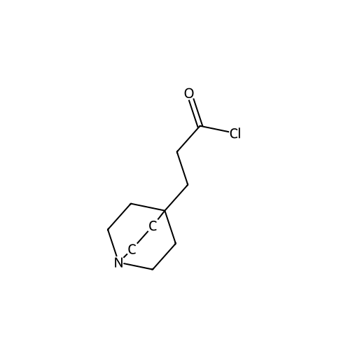 O=C(Cl)CCC12CCN(CC1)CC2